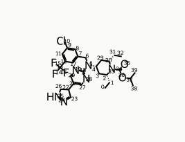 CC[C@@H]1C[C@H](N(Cc2cc(Cl)cc(C(F)(F)F)c2)c2ncc(C3C=NNC3)cn2)C[C@H](CC)N1C(=O)OC(C)C